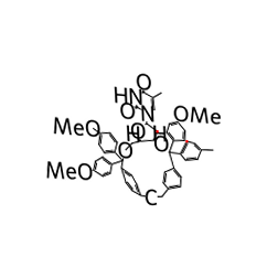 COc1ccc(C2(c3ccc(OC)cc3)OC[C@H]3O[C@@H](n4cc(C)c(=O)[nH]c4=O)C[C@H]3OC(c3ccc(C)cc3)(c3ccc(OC)cc3)c3ccc(cc3)CCc3ccc2cc3)cc1